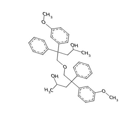 COc1cccc(C(COCC(CC(C)O)(c2ccccc2)c2cccc(OC)c2)(CC(C)O)c2ccccc2)c1